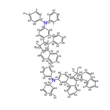 Cc1ccc(N(c2ccccc2)c2ccc3c4c(c5ccccc5c3c2)-c2c(ccc3c(-c5cccc(N(c6cccc(C)c6)c6ccc7c8c(c9ccccc9c7c6)-c6c(ccc7ccccc67)C8(C)C)c5)cccc23)C4(C)C)cc1